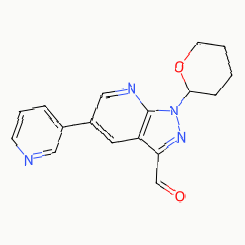 O=Cc1nn(C2CCCCO2)c2ncc(-c3cccnc3)cc12